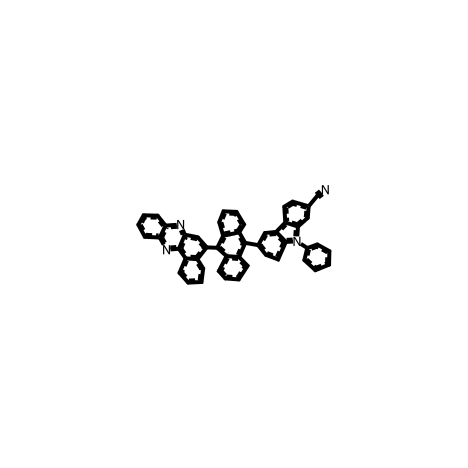 N#Cc1ccc2c3cc(-c4c5ccccc5c(-c5cc6nc7ccccc7nc6c6ccccc56)c5ccccc45)ccc3n(-c3ccccc3)c2c1